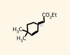 CCOC(=O)/C=C1/C=CC(C)(C)CC1